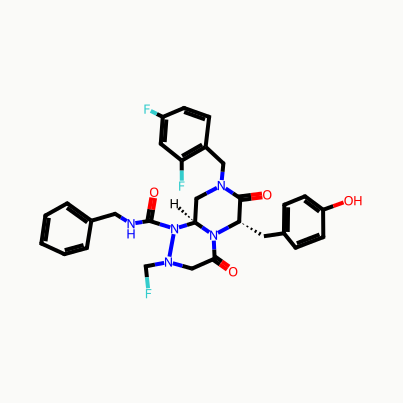 O=C1[C@H](Cc2ccc(O)cc2)N2C(=O)CN(CF)N(C(=O)NCc3ccccc3)[C@H]2CN1Cc1ccc(F)cc1F